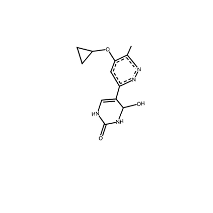 Cc1nnc(C2=CNC(=O)NC2O)cc1OC1CC1